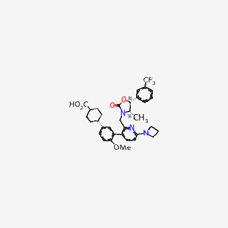 COc1ccc([C@H]2CC[C@H](C(=O)O)CC2)cc1-c1ccc(N2CCC2)nc1CN1C(=O)O[C@H](c2cccc(C(F)(F)F)c2)[C@@H]1C